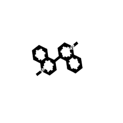 C[n+]1ccc(-c2cc[n+](C)c3ccccc23)c2ccccc21